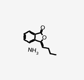 CCCC=C1OC(=O)c2ccccc21.N